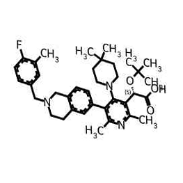 Cc1cc(CN2CCc3cc(-c4c(C)nc(C)c([C@H](OC(C)(C)C)C(=O)O)c4N4CCC(C)(C)CC4)ccc3C2)ccc1F